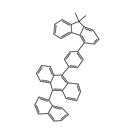 CC1(C)c2ccccc2-c2c(-c3ccc(-c4c5ccccc5c(-c5cccc6ccccc56)c5ccccc45)cc3)cccc21